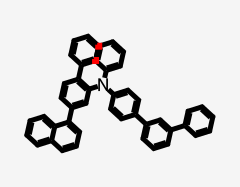 c1ccc(-c2cccc(-c3ccc(N(c4ccccc4)c4cc(-c5cccc6ccccc56)ccc4-c4ccccc4)cc3)c2)cc1